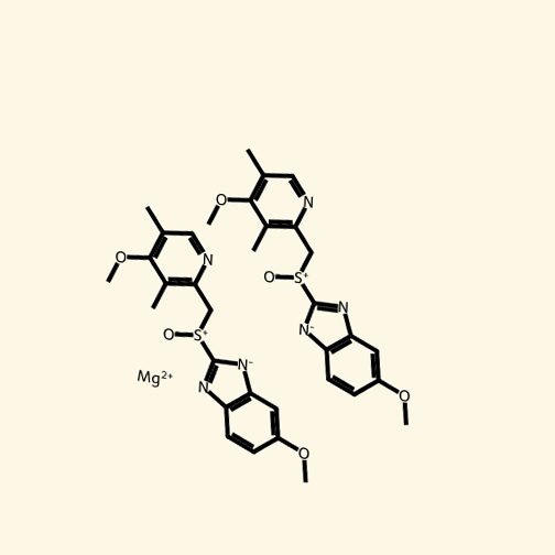 COc1ccc2[n-]c([S+]([O-])Cc3ncc(C)c(OC)c3C)nc2c1.COc1ccc2nc([S+]([O-])Cc3ncc(C)c(OC)c3C)[n-]c2c1.[Mg+2]